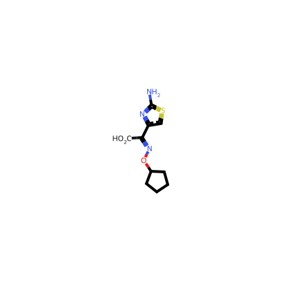 Nc1nc(C(=NOC2CCCC2)C(=O)O)cs1